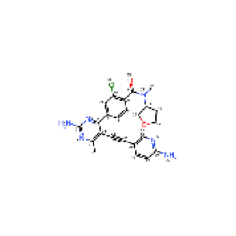 Cc1nc(N)nc(-c2ccc(C(=O)N(C)C3CCOC3)c(Cl)c2)c1C#Cc1ccc(N)nc1